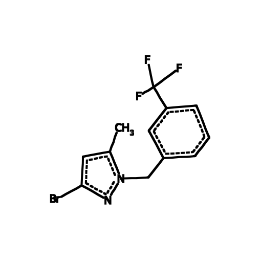 Cc1cc(Br)nn1Cc1cccc(C(F)(F)F)c1